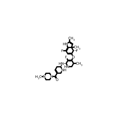 CC1=CC2(C)C(=C(F)C=C(OC3=C(F)[C@@H](N[C@@H]4CC=C(C(=O)N5CCN(C)CC5)CN4)NCC3C)[C@H]2F)N1